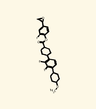 COC1CCC(c2ccc(C3CCC(C(=O)Oc4ccc(C5CO5)cc4F)CC3)c(F)c2F)CC1